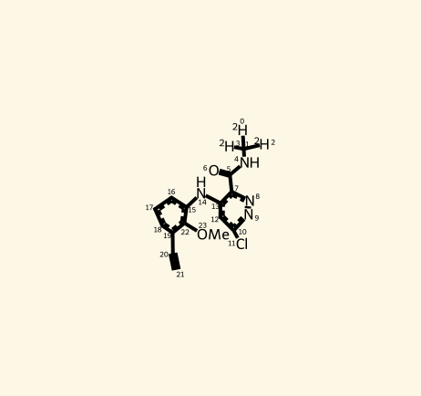 [2H]C([2H])([2H])NC(=O)c1nnc(Cl)cc1Nc1cccc(C#C)c1OC